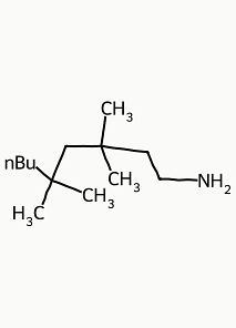 CCCCC(C)(C)CC(C)(C)CCN